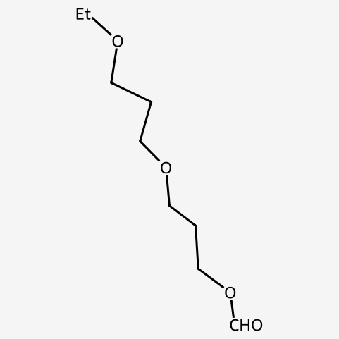 CCOCCCOCCCOC=O